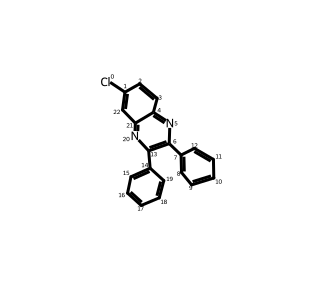 Clc1ccc2nc(-c3ccccc3)c(-c3ccccc3)nc2c1